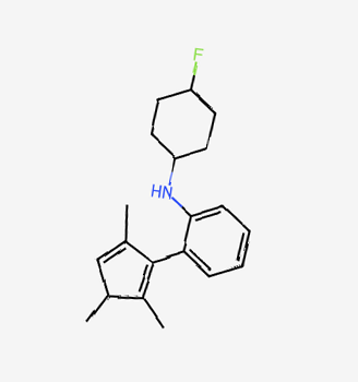 CC1=CC(C)C(C)=C1c1ccccc1NC1CCC(F)CC1